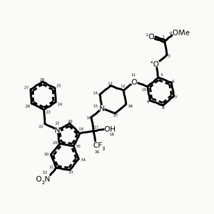 COC(=O)COc1ccccc1OC1CCN(CC(O)(c2cn(Cc3ccccc3)c3cc([N+](=O)[O-])ccc23)C(F)(F)F)CC1